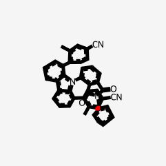 Cc1cc(C#N)ccc1-c1cccc2c3cccc(-c4ccc(C#N)cc4C)c3n(-c3cccc4c3C(=O)N(c3ccccc3)C4=O)c12